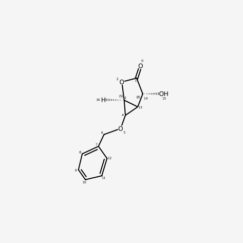 O=C1O[C@@H]2C(OCc3ccccc3)C2[C@H]1O